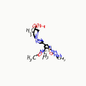 CCNC(=O)Nc1nc2cc(-c3cnc(N4CCC(C)(C(=O)O)CC4)nc3)cc(/C(C)=N/OCC)c2s1